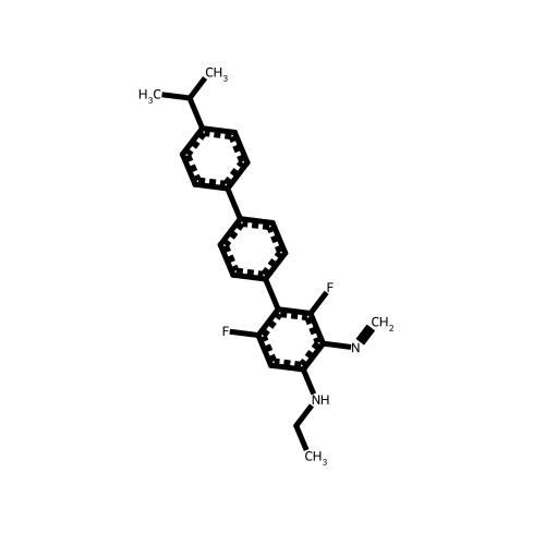 C=Nc1c(NCC)cc(F)c(-c2ccc(-c3ccc(C(C)C)cc3)cc2)c1F